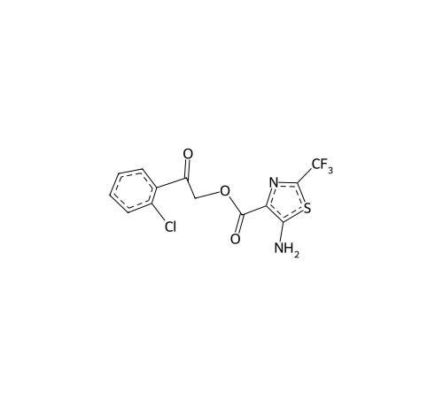 Nc1sc(C(F)(F)F)nc1C(=O)OCC(=O)c1ccccc1Cl